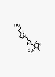 Cc1nn(C)c(NCCCn2cc[n+](CCO)c2)c1[N+](=O)[O-]